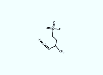 CC(CCS(=O)(=O)F)N=[N+]=[N-]